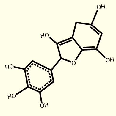 OC1=CC(O)=C2OC(c3cc(O)c(O)c(O)c3)C(O)=C2C1